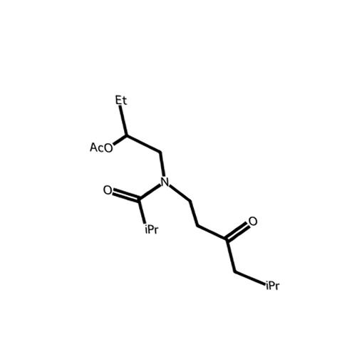 CCC(CN(CCC(=O)CC(C)C)C(=O)C(C)C)OC(C)=O